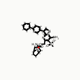 CS(=O)(=O)c1c(COC2CC3CCC(C2)N3C(N)=O)nc2c(-c3ccc(-c4ccccc4)nc3)cnn2c1N